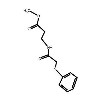 COC(=O)CCNC(=O)CSc1ccccc1